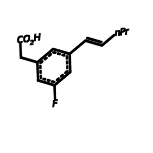 CCCC=Cc1cc(F)cc(CC(=O)O)c1